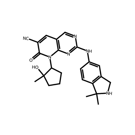 CC1(C)NCc2cc(Nc3ncc4cc(C#N)c(=O)n(C5CCCC5(C)O)c4n3)ccc21